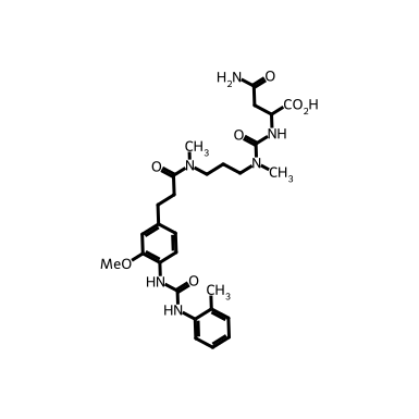 COc1cc(CCC(=O)N(C)CCCN(C)C(=O)NC(CC(N)=O)C(=O)O)ccc1NC(=O)Nc1ccccc1C